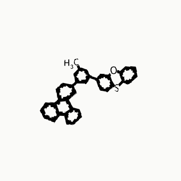 Cc1cc(-c2ccc3c(c2)Oc2ccccc2S3)cc(-c2ccc3c4ccccc4c4ccccc4c3c2)c1